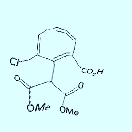 COC(=O)C(C(=O)OC)c1c(Cl)cccc1C(=O)O